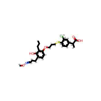 CCCc1c(OCCCSc2ccc(C(C)C(=O)O)cc2Cl)ccc(CCC=NOC)c1O